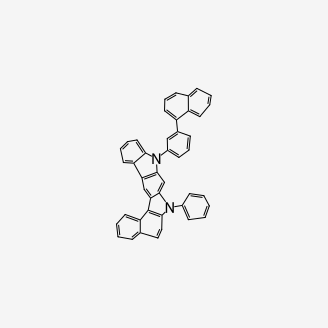 c1ccc(-n2c3cc4c(cc3c3c5ccccc5ccc32)c2ccccc2n4-c2cccc(-c3cccc4ccccc34)c2)cc1